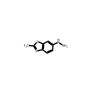 NNc1ccc2nc(C(F)(F)F)sc2c1